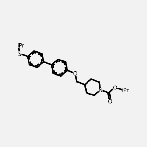 CC(C)OC(=O)N1CCC(COc2ccc(-c3ccc(SC(C)C)cc3)cc2)CC1